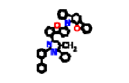 C=C1C=C(c2cccc3oc4c(N5C6=c7oc8ccccc8c7=CCC6c6ccccc65)cccc4c23)N=C(c2cccc(-c3ccccc3)c2)N=C1c1ccccc1